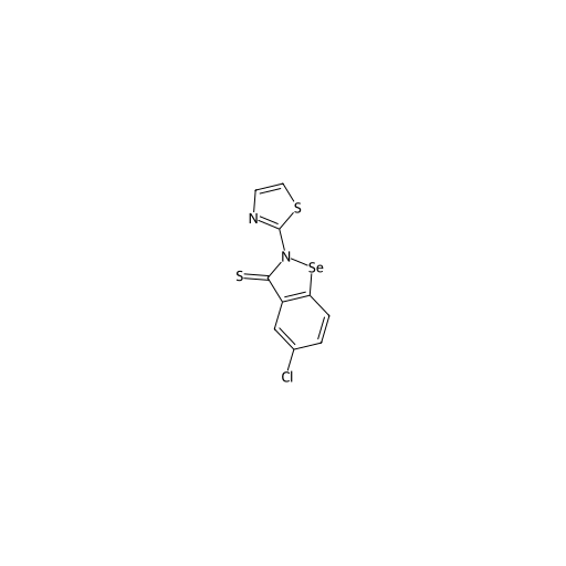 S=c1c2cc(Cl)ccc2[se]n1-c1nccs1